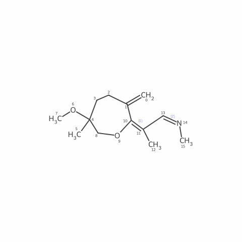 C=C1CCC(C)(OC)CO/C1=C(C)/C=N\C